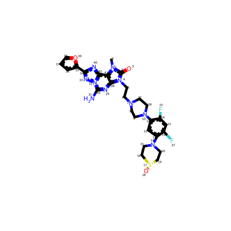 Cn1c(=O)n(CCN2CCN(c3cc(N4CC[S+]([O-])CC4)c(F)cc3F)CC2)c2nc(N)n3nc(-c4ccco4)nc3c21